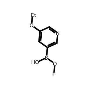 CCOc1cncc(B(O)OF)c1